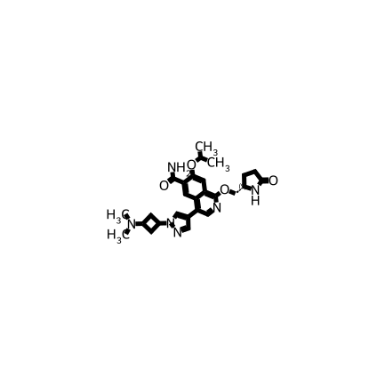 CC(C)Oc1cc2c(OC[C@@H]3CCC(=O)N3)ncc(-c3cnn(C4CC(N(C)C)C4)c3)c2cc1C(N)=O